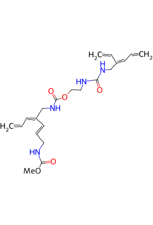 C=C/C=C(\C=C)CNC(=O)NCCOC(=O)NCC(/C=C/CNC(=O)OC)=C/C=C